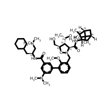 COc1c(CN2O[C@@H](CO)[C@H]([C@H](C)O)[C@H]2C(=O)N[C@H]2C[C@H]3C[C@@H]([C@@H]2C)C3(C)C)cccc1-c1cc(C(=O)N[C@@H](CC2CCCCC2)CN(C)C)cc(N(C)C)c1